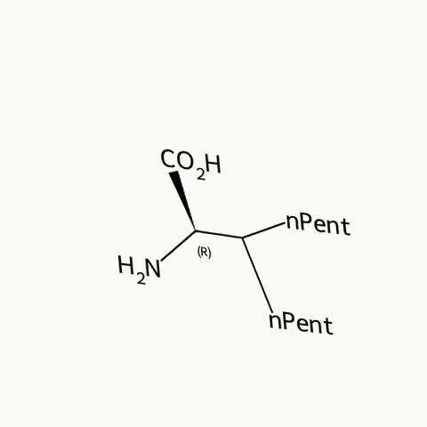 CCCCCC(CCCCC)[C@@H](N)C(=O)O